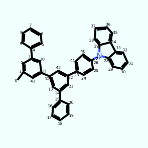 Cc1cc(-c2ccccc2)cc(-c2cc(-c3ccccc3)cc(-c3ccc(-n4c5ccccc5c5ccccc54)cc3)c2)c1